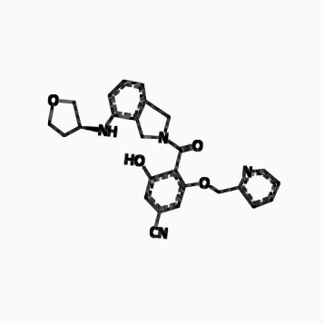 N#Cc1cc(O)c(C(=O)N2Cc3cccc(N[C@H]4CCOC4)c3C2)c(OCc2ccccn2)c1